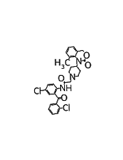 Cc1cccc2c1N(C1CCN(CC(=O)Nc3ccc(Cl)cc3C(=O)c3ccccc3Cl)CC1)C(=O)OC2